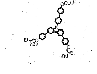 CCCCC(CC)COc1ccc(-c2ccc3c(c2)c2cc(-c4ccc(OCC(CC)CCCC)cc4)ccc2n3-c2ccc(-c3ccc(OC(=O)O)cc3)cc2)cc1